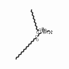 CCCCCCCCCCCCCCCCC(=O)OCC(COP(=O)(O)OCC[N+](C)(C)C)OC(=O)CCCCCCCCCCCC